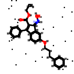 CCOC(=O)C1=C(c2ccccc2)c2ccc(OCCCc3ccccc3)cc2/C1=N/O